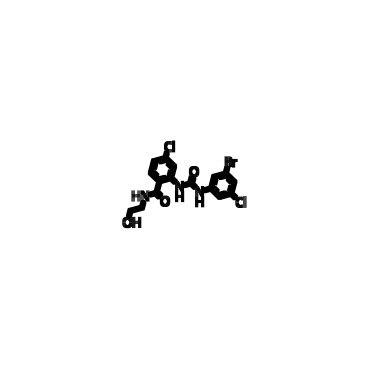 O=C(Nc1cc(Cl)cc(Br)c1)Nc1cc(Cl)ccc1C(=O)NCCO